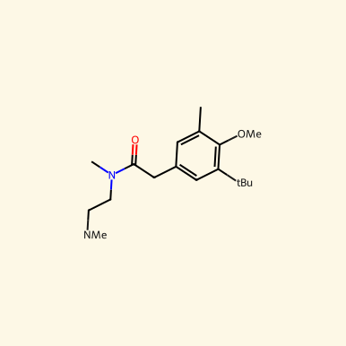 CNCCN(C)C(=O)Cc1cc(C)c(OC)c(C(C)(C)C)c1